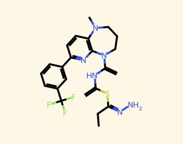 C=C(NC(=C)N1CCCN(C)c2ccc(-c3cccc(C(F)(F)F)c3)nc21)S/C(CC)=N\N